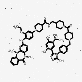 CCOc1cc(N2CCC(C(=O)NCC3CCN(C(=O)C4CCN(Cc5ccc(-n6c(O)nnc6-c6cc(C(C)C)c(O)cc6O)cc5)CC4)CC3)CC2)ccc1Nc1ncc2c(n1)N(C)c1ccccc1C(=O)N2C